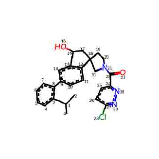 CC(C)c1ccccc1-c1ccc2c(c1)C(O)CC21CCN(C(=O)c2ccc(Cl)nn2)C1